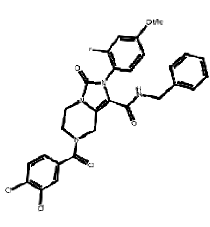 COc1ccc(-n2c(C(=O)NCc3ccccc3)c3n(c2=O)CCN(C(=O)c2ccc(Cl)c(Cl)c2)C3)c(F)c1